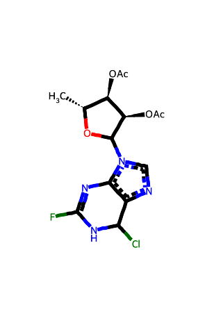 CC(=O)O[C@@H]1[C@@H](C)OC(n2cnc3c2N=C(F)NC3Cl)[C@@H]1OC(C)=O